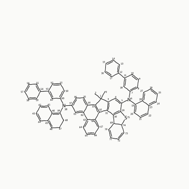 CC1(C)c2cc(N(c3cccc(-c4ccccc4)c3)c3cccc4ccccc34)c3c(c2-c2c1c1ccc(N(C4=c5ccccc5=CCC4)c4cccc(-c5ccccc5)c4)cc1c1ccccc21)C1C=CC=CC1S3